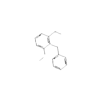 COc1cccc(CCl)c1Cc1ccccc1